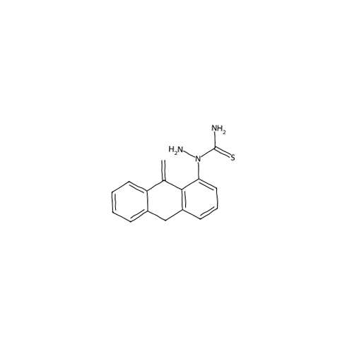 C=C1c2ccccc2Cc2cccc(N(N)C(N)=S)c21